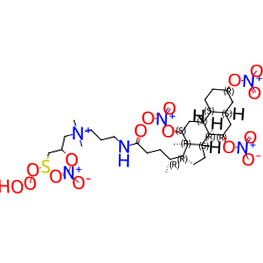 C[C@H](CCC(=O)NCCC[N+](C)(C)CC(CSOOO)O[N+](=O)[O-])[C@H]1CC[C@H]2[C@@H]3[C@H](O[N+](=O)[O-])C[C@@H]4C[C@H](O[N+](=O)[O-])CC[C@]4(C)[C@H]3C[C@H](O[N+](=O)[O-])[C@]12C